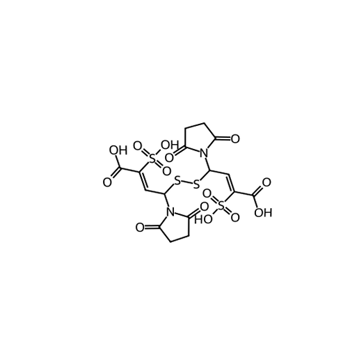 O=C(O)C(=CC(SSC(C=C(C(=O)O)S(=O)(=O)O)N1C(=O)CCC1=O)N1C(=O)CCC1=O)S(=O)(=O)O